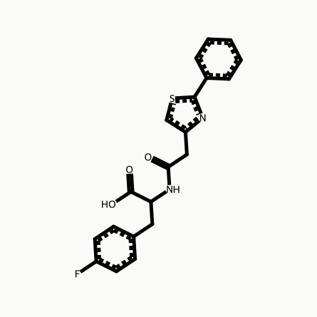 O=C(Cc1csc(-c2ccccc2)n1)NC(Cc1ccc(F)cc1)C(=O)O